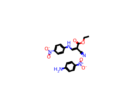 CCOC(=O)C(C#N)=CNc1ccc([N+](=O)[O-])cc1.Nc1ccc([N+](=O)[O-])cc1